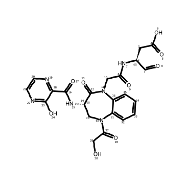 O=C[C@H](CC(=O)O)NC(=O)CN1C(=O)[C@@H](NC(=O)c2nccnc2O)CN(C(=O)CO)c2ccccc21